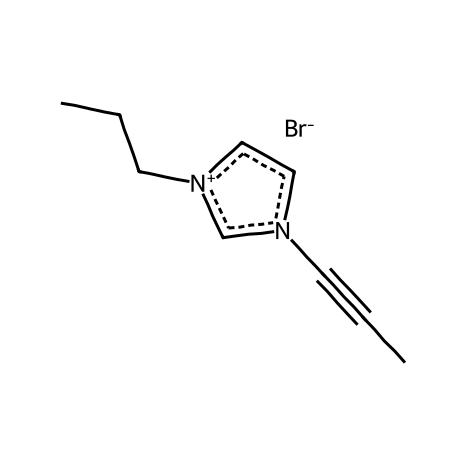 CC#Cn1cc[n+](CCC)c1.[Br-]